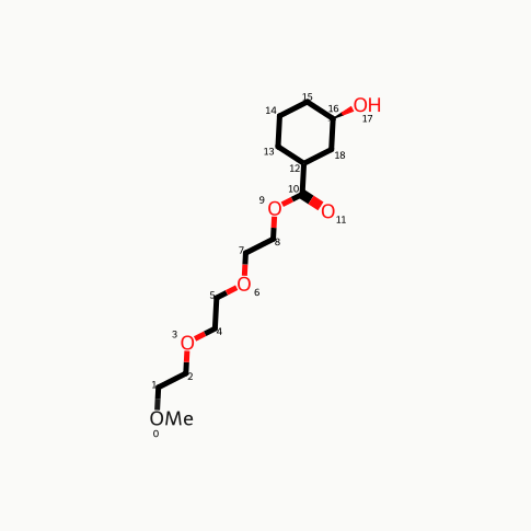 COCCOCCOCCOC(=O)C1CCC[C@@H](O)C1